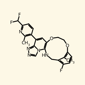 Cc1nc(C(F)F)ccc1-c1cc2c(n3cnnc13)NCc1c(F)ccc(c1C)OCCO2